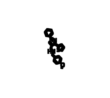 COc1ccc(CNCc2cn(-c3ccccc3)nc2-c2cccs2)cc1